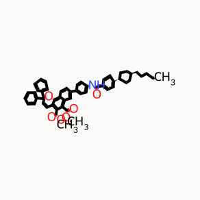 CCCCC[C@H]1CC[C@H](c2ccc(C(=O)Nc3ccc(-c4ccc5c6c(c(C(=O)OC)c(C(=O)OC)c5c4)C=CC(c4ccccc4)(c4ccccc4)O6)cc3)cc2)CC1